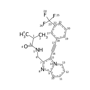 CC(C)C(=O)NCc1nc2ccccn2c1C#Cc1cccc(C(F)(F)F)c1